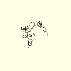 CCc1ccc(-n2cc(-c3ccc4[nH]cc(NC(=O)C5CCN(C(C)(C)C)C5)c4c3)cn2)cc1